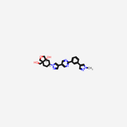 Cn1cc(-c2cccc(-c3ncc(-c4cnn([C@H]5CCC6(CO)COC[C@]6(O)C5)c4)cn3)c2)cn1